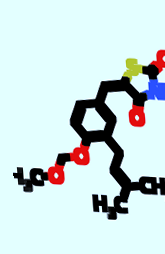 COCOc1ccc(C=C2SC(=O)NC2=O)cc1CC=C(C)C